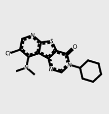 CN(C)c1c(Cl)cnc2sc3c(=O)n(C4CCCCC4)cnc3c12